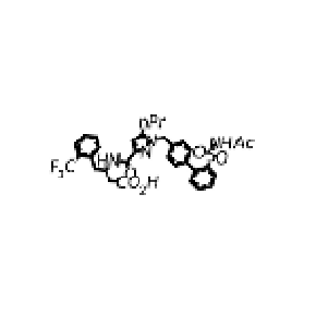 CCCc1cc(C(=O)N[C@@H](CC(=O)O)Cc2ccccc2C(F)(F)F)nn1Cc1ccc(-c2ccccc2S(=O)(=O)NC(C)=O)cc1